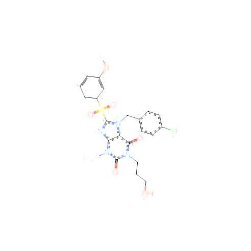 Cn1c(=O)n(CCCO)c(=O)c2c1nc(S(=O)(=O)C1C=C(OC(F)(F)F)C=CC1)n2Cc1ccc(Cl)cc1